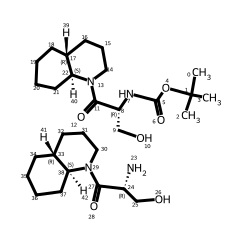 CC(C)(C)OC(=O)N[C@H](CO)C(=O)N1CCC[C@H]2CCCC[C@@H]21.N[C@H](CO)C(=O)N1CCC[C@H]2CCCC[C@@H]21